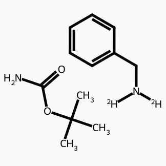 CC(C)(C)OC(N)=O.[2H]N([2H])Cc1ccccc1